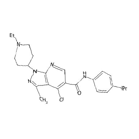 CCN1CCC(n2nc(C)c3c(Cl)c(C(=O)Nc4ccc(C(C)C)cc4)cnc32)CC1